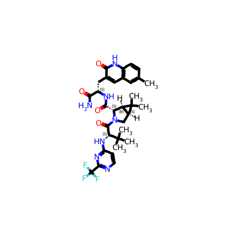 Cc1ccc2[nH]c(=O)c(C[C@H](NC(=O)[C@@H]3[C@@H]4[C@H](CN3C(=O)[C@@H](Nc3ccnc(C(F)(F)F)n3)C(C)(C)C)C4(C)C)C(N)=O)cc2c1